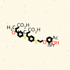 CCCc1c(OCCCSc2ccc(C(Sc3ccc(C(=O)C(C)CC(=O)O)cc3)C(C)CC(=O)O)cc2)ccc(C(C)=O)c1O